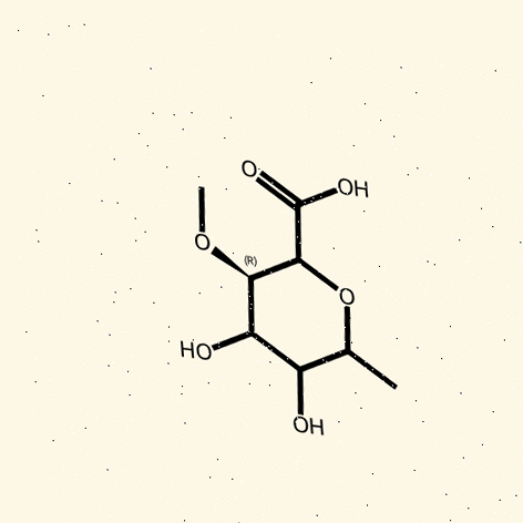 CO[C@H]1C(C(=O)O)OC(C)C(O)C1O